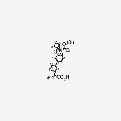 CC(C)C(C(=O)O)n1cc(-c2ccnc(OC3(NC(=O)OC(C)(C)C)CCC3)c2)cn1